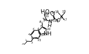 CCCc1ccc2c(C[C@H](CO)NC(=O)OC(C)(C)C)c[nH]c2c1